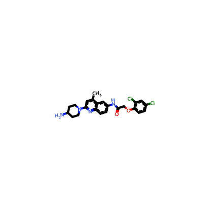 Cc1cc(N2CCC(N)CC2)nc2ccc(NC(=O)COc3ccc(Cl)cc3Cl)cc12